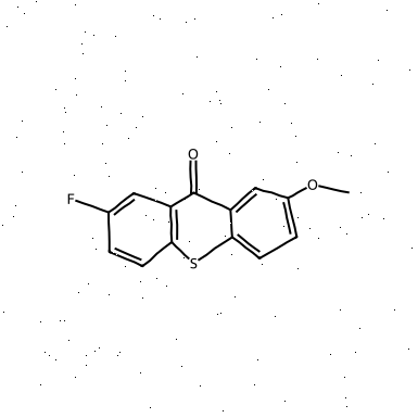 COc1ccc2sc3ccc(F)cc3c(=O)c2c1